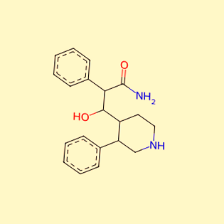 NC(=O)C(c1ccccc1)C(O)C1CCNCC1c1ccccc1